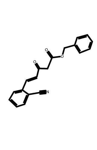 N#Cc1ccccc1C=CC(=O)CC(=O)OCc1ccccc1